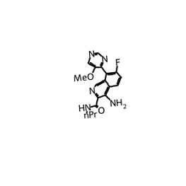 CCCNC(=O)c1ncc2c(-c3ncncc3OC)c(F)ccc2c1N